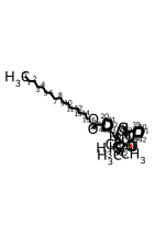 CCCCCCCCCCCCCCCCOC(=O)c1cccc(NC(=O)C(Cl)(C(=O)C(C)(C)C)N2C(=O)c3ccccc3C2=O)c1